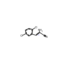 N#C/C(N)=C/c1cc(Cl)ccc1Cl